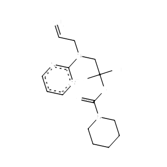 C=CCN(CC(C)(C)OC(=O)N1CCCCC1)c1ncccn1